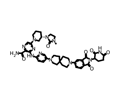 CN1CCN([C@H]2CCCN(c3cnc(C(N)=O)c(Nc4ccc(N5CCC6(CC5)CCN(c5ccc7c(c5)C(=O)N(C5CCC(=O)NC5=O)C7=O)CC6)cn4)n3)C2)C1=O